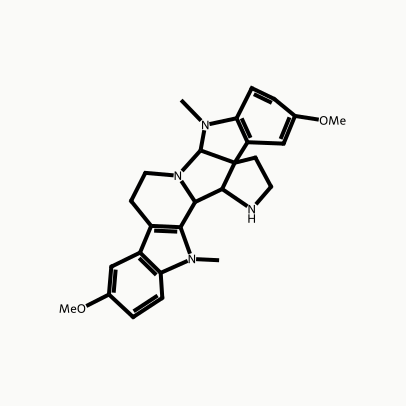 COc1ccc2c(c1)C13CCNC1C1c4c(c5cc(OC)ccc5n4C)CCN1C3N2C